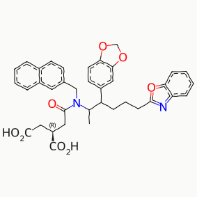 CC(C(CCCc1nc2ccccc2o1)c1ccc2c(c1)OCO2)N(Cc1ccc2ccccc2c1)C(=O)C[C@H](CC(=O)O)C(=O)O